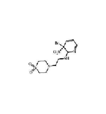 O=[N+]([O-])C1(Br)C=CC=NC1NCCN1CCS(=O)(=O)CC1